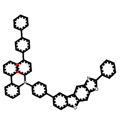 c1ccc(-c2ccc(-c3ccc(N(c4ccc(-c5ccc6oc7cc8oc(-c9ccccc9)nc8cc7c6c5)cc4)c4ccccc4-c4ccccc4)cc3)cc2)cc1